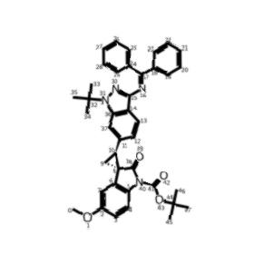 COc1ccc2c(c1)[C@]1(C[C@H]1c1ccc3c(N=C(c4ccccc4)c4ccccc4)nn(C(C)(C)C)c3c1)C(=O)N2C(=O)OC(C)(C)C